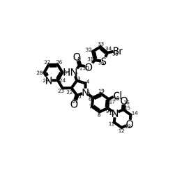 O=C(NC1CN(c2ccc(N3CCOCC3=O)c(Cl)c2)C(=O)C1Cc1ccccn1)Oc1ccc(Br)s1